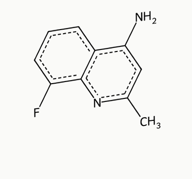 Cc1cc(N)c2cccc(F)c2n1